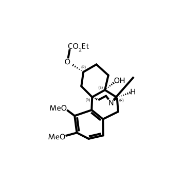 CCOC(=O)O[C@@H]1CC[C@@]2(O)[C@H]3Cc4ccc(OC)c(OC)c4[C@@]2(CCN3C)C1